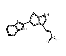 O=[N+]([O-])C=Cc1c[nH]c2ccc(-c3nc4ccccc4[nH]3)cc12